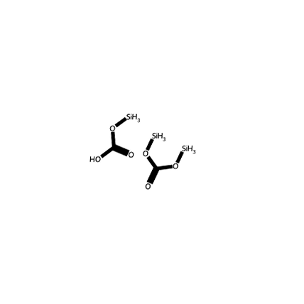 O=C(O)O[SiH3].O=C(O[SiH3])O[SiH3]